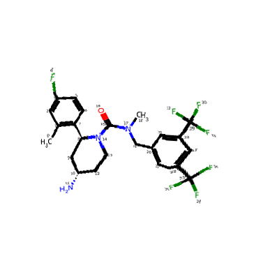 Cc1cc(F)ccc1[C@@H]1C[C@@H](N)CCN1C(=O)N(C)Cc1cc(C(F)(F)F)cc(C(F)(F)F)c1